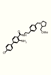 COCC1CCCN1Cc1ccc(CCNC(=O)c2ccc(-c3ccc(Cl)cc3)cc2N)cc1